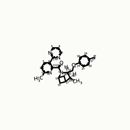 Cc1ccc(-c2ncccn2)c(C(=O)N2C3CC(C3)[C@H](C)[C@@H]2COc2ccc(F)cc2)n1